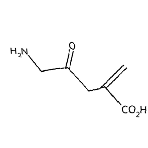 C=C(CC(=O)CN)C(=O)O